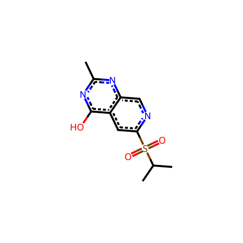 Cc1nc(O)c2cc(S(=O)(=O)C(C)C)ncc2n1